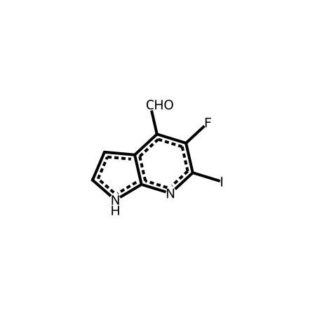 O=Cc1c(F)c(I)nc2[nH]ccc12